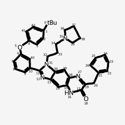 CC(C)(C)c1ccc(Oc2cccc(-c3nc4cc5[nH]c(=O)c(Cc6ccccc6)nc5cc4n3CCCN3CCCC3)c2)cc1